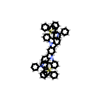 c1ccc(N(c2ccccc2)c2ccc3c4cc5c(cc4n4c6cccc(S(c7ccccc7)(c7ccccc7)c7ccccc7)c6c2c34)c2ccc(N(c3ccccc3)c3ccccc3)c3c4c(S(c6ccccc6)(c6ccccc6)c6ccccc6)cccc4n5c23)cc1